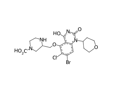 O=C(O)N1CCNC(COc2c(Cl)c(Br)cc3c2c(O)nc(=O)n3C2CCOCC2)C1